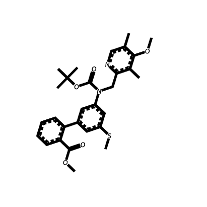 COC(=O)c1ccccc1-c1cc(SC)cc(N(Cc2ncc(C)c(OC)c2C)C(=O)OC(C)(C)C)c1